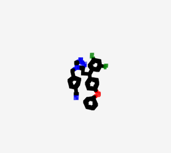 N#Cc1ccc(Cn2cnnc2CC(c2ccc(Oc3ccccc3)cc2)c2cc(F)cc(F)c2)cc1